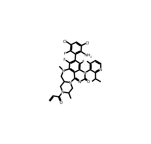 C=CC(=O)N1CC2CN(C)c3c(F)c(-c4c(N)c(Cl)cc(Cl)c4F)c(F)c4c3c(nc(=O)n4-c3c(C)ccnc3C(C)C)N2CC1C